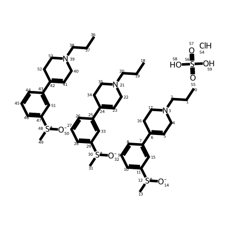 CCCN1CC=C(c2cccc([S+](C)[O-])c2)CC1.CCCN1CC=C(c2cccc([S+](C)[O-])c2)CC1.CCCN1CC=C(c2cccc([S+](C)[O-])c2)CC1.Cl.O=S(=O)(O)O